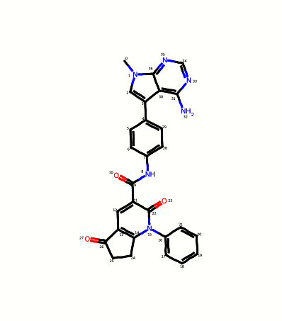 Cn1cc(-c2ccc(NC(=O)c3cc4c(n(-c5ccccc5)c3=O)CCC4=O)cc2)c2c(N)ncnc21